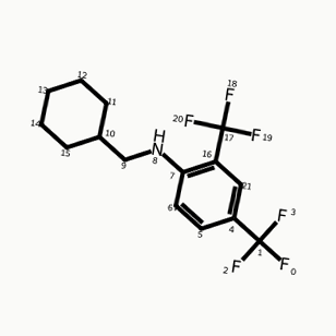 FC(F)(F)c1c[c]c(NCC2CCCCC2)c(C(F)(F)F)c1